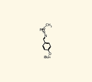 CC[C@@H](C)Oc1ccc(C=NN2P=S2C)cc1